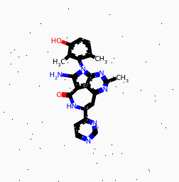 Cc1nc2c3c(c(N)n(-c4c(C)ccc(O)c4C)c3n1)C(=O)NC(c1ccncn1)=C2